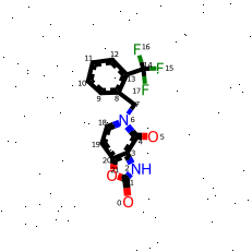 O=c1[nH]c2c(=O)n(Cc3ccccc3C(F)(F)F)ccc2o1